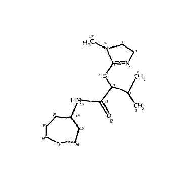 CC(C)C(SC1=NCCN1C)C(=O)NC1CCCCCC1